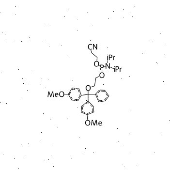 COc1ccc(C(OCCOP(OCCC#N)N(C(C)C)C(C)C)(c2ccccc2)c2ccc(OC)cc2)cc1